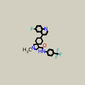 CN1CC(C(=O)Nc2ccc(C(F)(F)F)cc2)C2(CCC(c3ccnc4ccc(F)cc34)CC2)C1